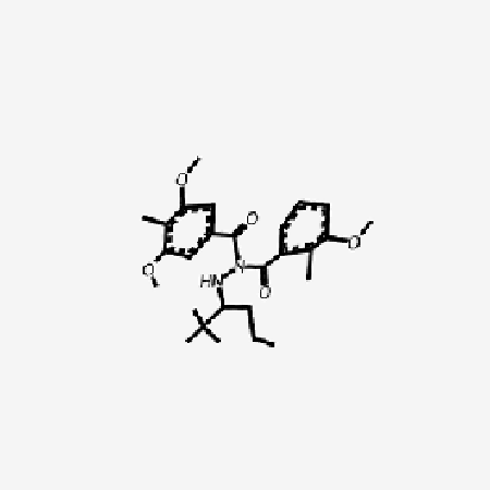 CCCC(NN(C(=O)c1cc(OC)c(C)c(OC)c1)C(=O)c1cccc(OC)c1C)C(C)(C)C